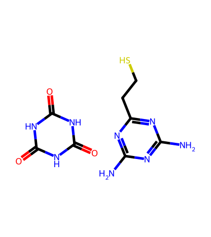 Nc1nc(N)nc(CCS)n1.O=c1[nH]c(=O)[nH]c(=O)[nH]1